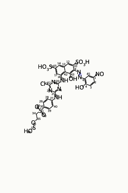 O=Nc1ccc(O)c(/N=N/c2c(S(=O)(=O)O)cc3cc(S(=O)(=O)O)cc(Nc4nc(Cl)nc(Nc5ccc(S(=O)(=O)CCOSO)cc5)n4)c3c2O)c1